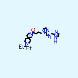 CCC(CC)N1CCC2(CCN(C(=O)CCCn3ccnc3CN(C)Cc3ncc[nH]3)C2)CC1